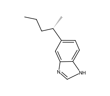 CCC[C@H](C)c1ccc2[nH]cnc2c1